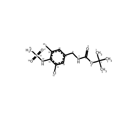 CC(C)(C)OC(=O)NCc1cc(Cl)c(NS(C)(=O)=O)c(I)c1